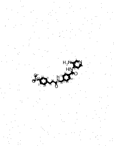 Nc1cnccc1NC(=O)c1ccc(CNC(=O)CCc2ccc([N+](=O)[O-])cc2)cc1